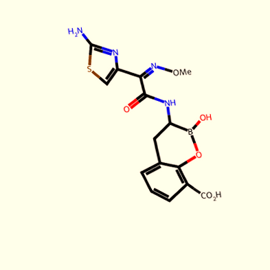 CON=C(C(=O)NC1Cc2cccc(C(=O)O)c2OB1O)c1csc(N)n1